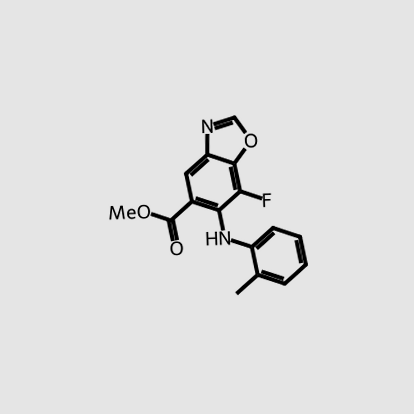 COC(=O)c1cc2ncoc2c(F)c1Nc1ccccc1C